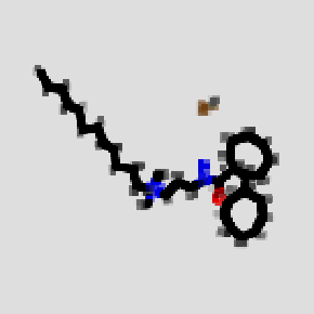 CCCCCCCCCCCC[N+](C)(C)CCCNC(=O)[C@H]1CCCCCC[C@H]1C1CCCCCCC1.[Br-]